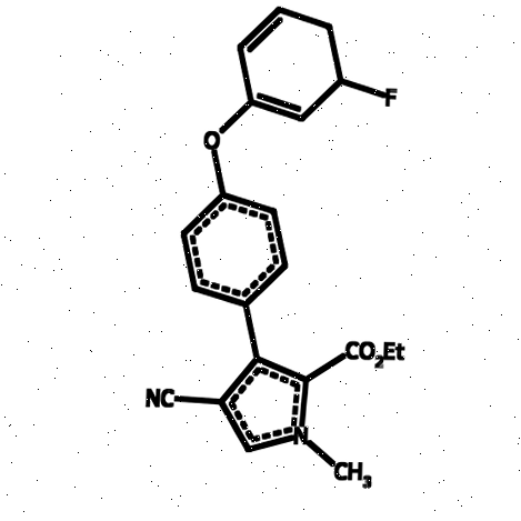 CCOC(=O)c1c(-c2ccc(OC3=CC(F)CC=C3)cc2)c(C#N)cn1C